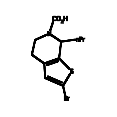 CCCC1c2sc(Br)cc2CCN1C(=O)O